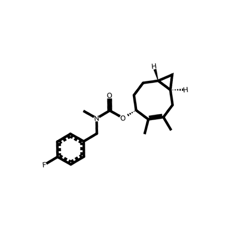 C/C1=C(\C)[C@H](OC(=O)N(C)Cc2ccc(F)cc2)CC[C@@H]2C[C@H]2C1